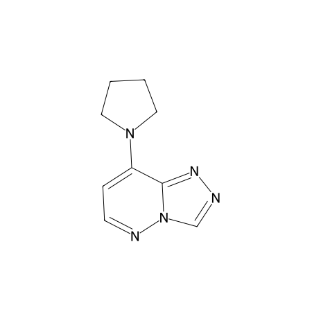 c1cc(N2CCCC2)c2nncn2n1